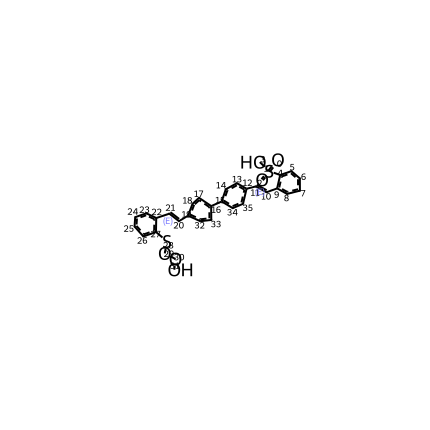 O=S(=O)(O)c1ccccc1/C=C/c1ccc(-c2ccc(/C=C/c3ccccc3SOOO)cc2)cc1